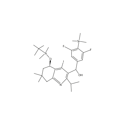 CC(C)c1nc2c(c(I)c1C(O)c1cc(F)c([Si](C)(C)C)c(F)c1)[C@H](O[Si](C)(C)C(C)(C)C)CC(C)(C)C2